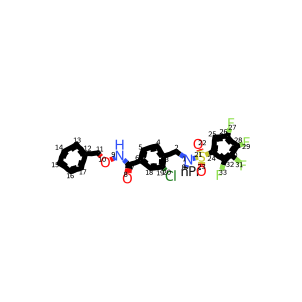 CCCN(Cc1ccc(C(=O)NOCc2ccccc2)cc1Cl)S(=O)(=O)c1cc(F)c(F)c(F)c1F